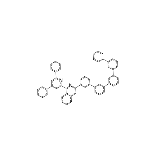 c1ccc(-c2cccc(-c3cccc(-c4cccc(-c5cccc(-c6cc7ccccc7c(-c7cc(-c8ccccc8)cc(-c8ccccc8)n7)n6)c5)c4)c3)c2)cc1